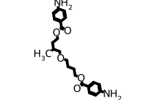 CC(CCOC(=O)c1ccc(N)cc1)COCCCCOC(=O)c1ccc(N)cc1